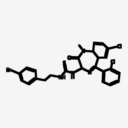 CN1C(=O)C(NC(=S)NCCc2ccc(Br)cc2)N=C(c2ccccc2Cl)C2C=C(Cl)C=CC21